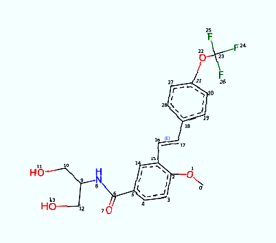 COc1ccc(C(=O)NC(CO)CO)cc1/C=C/c1ccc(OC(F)(F)F)cc1